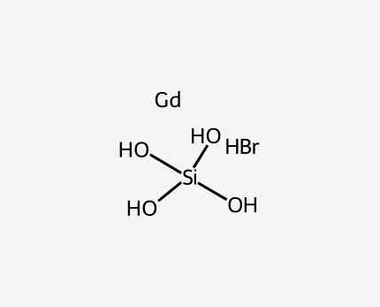 Br.O[Si](O)(O)O.[Gd]